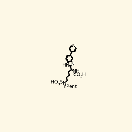 CCCCCN(CCCCC(NC(=O)O)c1nc2cc(-c3ccncc3)ccc2[nH]1)S(=O)(=O)O